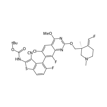 COc1nc(OC[C@]2(C)CN(C)CC/C2=C\F)nc2c(F)c(-c3c(F)ccc4sc(NC(=O)OC(C)(C)C)c(C#N)c34)c(Cl)cc12